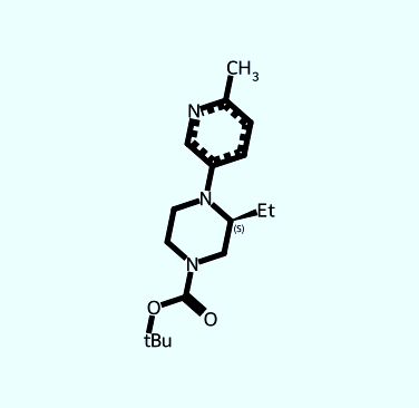 CC[C@H]1CN(C(=O)OC(C)(C)C)CCN1c1ccc(C)nc1